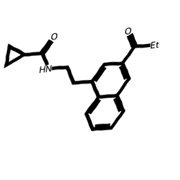 CCC(=O)c1cc(CCNC(=O)C2CC2)c2ccccc2c1